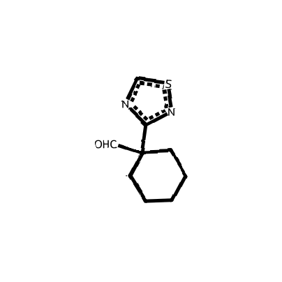 O=CC1(c2ncsn2)[CH]CCCC1